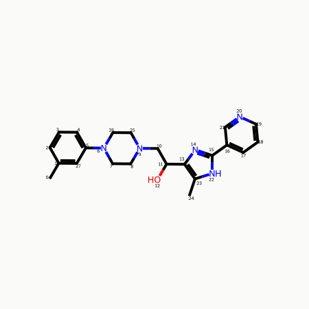 Cc1cccc(N2CCN(CC(O)c3nc(-c4cccnc4)[nH]c3C)CC2)c1